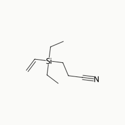 C=C[Si](CC)(CC)CCC#N